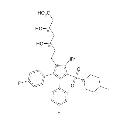 CC1CCN(S(=O)(=O)c2c(-c3ccc(F)cc3)c(-c3ccc(F)cc3)n(CC[C@@H](O)C[C@@H](O)CC(=O)O)c2C(C)C)CC1